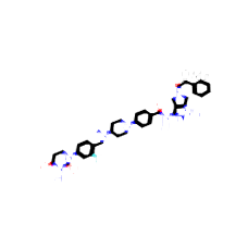 CO[C@@H](C(=O)N1Cc2[nH]nc(NC(=O)c3ccc(N4CCC(N(C)Cc5ccc(N6CCC(=O)NC6=O)cc5F)CC4)cc3)c2C1)c1ccccc1